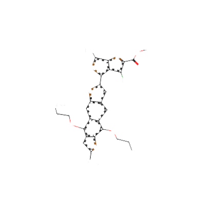 CCCCCCCCCCCCOc1c2cc3sc(-c4sc(C)c5sc(C(=O)OCCCCCCCC)c(F)c45)cc3cc2c(OCCCCCCCCCCCC)c2sc(C)cc12